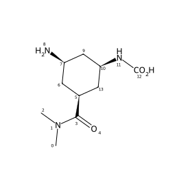 CN(C)C(=O)[C@H]1C[C@@H](N)C[C@@H](NC(=O)O)C1